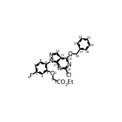 CCOC(=O)COc1cc(F)ccc1-n1ncc2c(OCc3ccccc3)nc(Cl)nc21